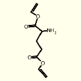 C=COC(=O)CCC(N)C(=O)OC=C